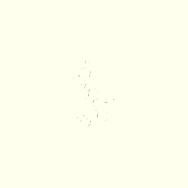 Cc1ccc(C(=O)NN(C)C)cc1C(=O)c1ccc(Nc2ccc(F)cc2F)cc1Cl